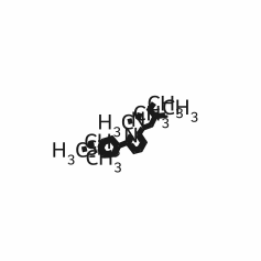 CCC(CC)CC(c1cccc(-c2ccc([Si](C)(C)C)cc2)n1)N(C)C